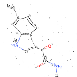 COc1ccc2c(C(=O)C(=O)NCC(=O)O)c[nH]c2c1